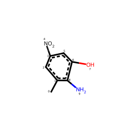 Cc1cc([N+](=O)[O-])cc(O)c1N